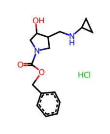 Cl.O=C(OCc1ccccc1)N1CC(O)C(CNC2CC2)C1